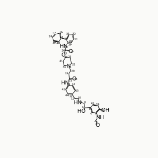 O=CNc1cc([C@@H](O)CNCCc2ccc(NC(=O)CCN3CCC(OC(=O)Nc4ccccc4-c4ccccc4)CC3)cc2)ccc1O